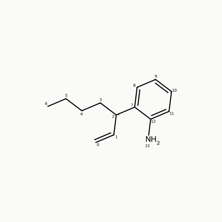 C=C[C](CCCC)c1ccccc1N